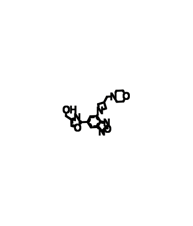 OCc1coc(-c2cc(N3CC(CN4CCOCC4)C3)c3nonc3c2)n1